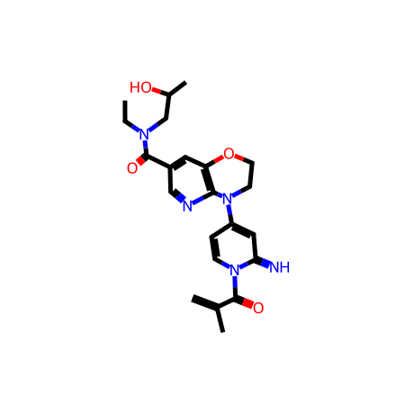 C=C(C)C(=O)n1ccc(N2CCOc3cc(C(=O)N(CC)CC(C)O)cnc32)cc1=N